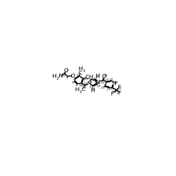 Cc1c(OCC(N)=O)ccc([C@H](C)N2C[C@@H]3C[C@H]2CN3C(=O)c2ccc(C(F)(F)F)nc2)c1C